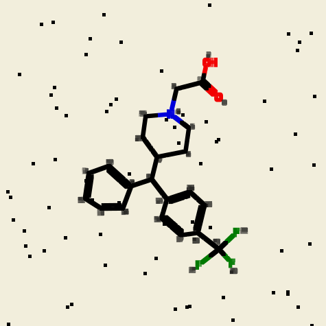 O=C(O)CN1CCC(C(c2ccccc2)c2ccc(C(F)(F)F)cc2)CC1